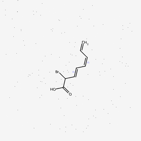 C=C/C=C\C=C\C(Br)C(=O)O